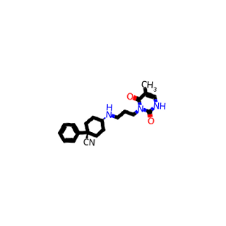 Cc1c[nH]c(=O)n(CCCN[C@H]2CC[C@@](C#N)(c3ccccc3)CC2)c1=O